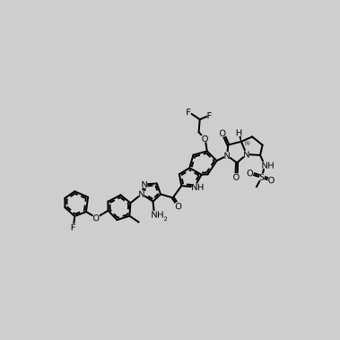 Cc1cc(Oc2ccccc2F)ccc1-n1ncc(C(=O)c2cc3cc(OCC(F)F)c(N4C(=O)[C@@H]5CCC(NS(C)(=O)=O)N5C4=O)cc3[nH]2)c1N